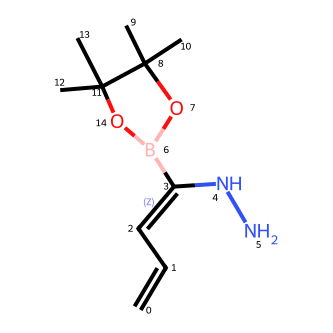 C=C/C=C(\NN)B1OC(C)(C)C(C)(C)O1